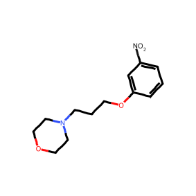 O=[N+]([O-])c1cc[c]c(OCCCN2CCOCC2)c1